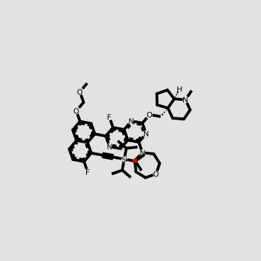 COCOc1cc(-c2ncc3c(N4CCCOCC4)nc(OC[C@]45CCC[C@H]4N(C)CCC5)nc3c2F)c2c(C#C[Si](C(C)C)(C(C)C)C(C)C)c(F)ccc2c1